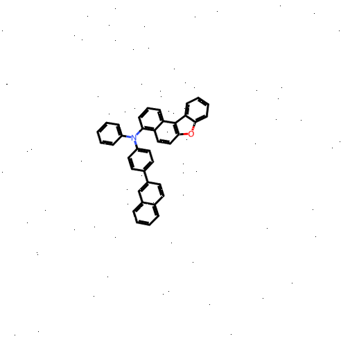 c1ccc(N(c2ccc(-c3ccc4ccccc4c3)cc2)c2cccc3c2ccc2oc4ccccc4c23)cc1